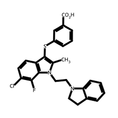 Cc1c(Sc2cccc(C(=O)O)c2)c2ccc(Cl)c(F)c2n1CCN1CCc2ccccc21